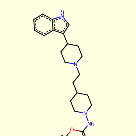 CC(C)(C)OC(=O)NN1CCC(CCN2CCC(c3c[nH]c4ccccc34)CC2)CC1